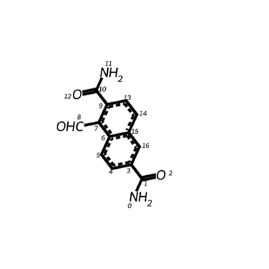 NC(=O)c1ccc2c(C=O)c(C(N)=O)ccc2c1